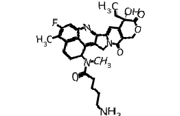 CC[C@@]1(O)C(=O)OCc2c1cc1n(c2=O)Cc2c-1nc1cc(F)c(C)c3c1c2[C@@H](N(C)C(=O)CCCCN)CC3